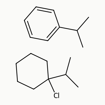 CC(C)C1(Cl)CCCCC1.CC(C)c1ccccc1